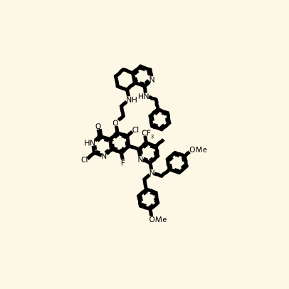 COc1ccc(CN(Cc2ccc(OC)cc2)c2cc(C)c(C(F)(F)F)c(-c3c(Cl)c(OCCNC4CCCc5ccnc(NCc6ccccc6)c54)c4c(=O)[nH]c(Cl)nc4c3F)n2)cc1